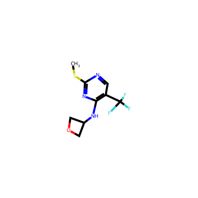 CSc1ncc(C(F)(F)F)c(NC2COC2)n1